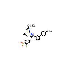 CCOC(=O)c1csc(-n2nc(-c3cccc(-c4ccc(C)cc4)c3)c(Cc3ccc(S(=O)O)c(F)c3)c2CC2CC2)n1